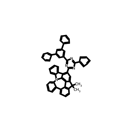 CC1(C)c2cccc3c2-c2c1cc(-c1nc(-c4ccccc4)nc(-c4cc(-c5ccccc5)cc(-c5ccccc5)c4)n1)c1c4ccccc4n(c21)-c1ccccc1-3